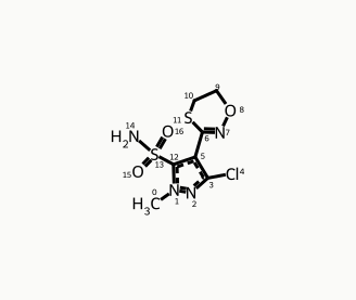 Cn1nc(Cl)c(C2=NOCCS2)c1S(N)(=O)=O